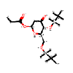 CCC(=O)O[C@H]1CC(=O)[C@H](O[Si](C)(C)C(C)(C)C)[C@@H](CO[Si](C)(C)C(C)(C)C)O1